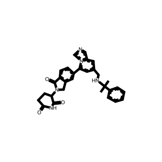 CC(C)(NCc1cc(-c2ccc3c(c2)CN(C2CCC(=O)NC2=O)C3=O)n2cncc2c1)c1ccccc1